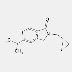 CC(C)c1ccc2c(c1)CN(CC1CC1)C2=O